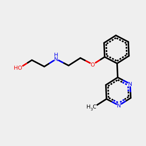 Cc1cc(-c2ccccc2OCCNCCO)ncn1